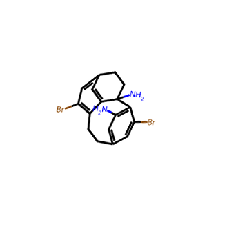 Nc1cc2cc(Br)c1C1(N)CCc3cc(Br)c(c1c3)CC2